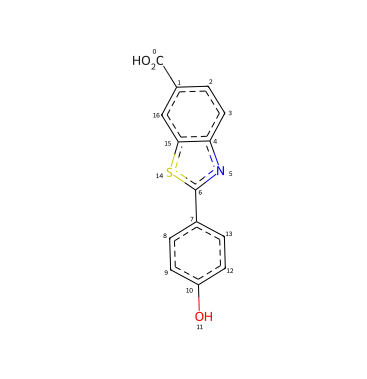 O=C(O)c1ccc2nc(-c3ccc(O)cc3)sc2c1